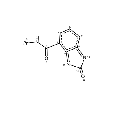 CC(C)NC(=O)c1cccc2c1=NC(=O)N=2